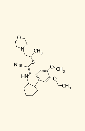 CCOc1cc2c(cc1OC)C(=C(C#N)SC(C)CN1CCOCC1)NC1CCCCC21